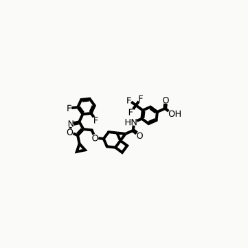 O=C(O)c1ccc(NC(=O)C2C3CC(OCc4c(-c5c(F)cccc5F)noc4C4CC4)CC4CCC432)c(C(F)(F)F)c1